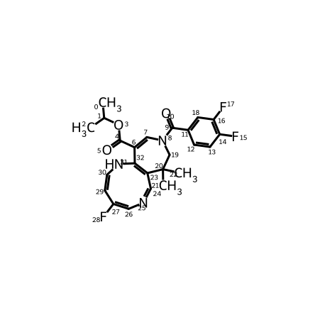 CC(C)OC(=O)C1=CN(C(=O)c2ccc(F)c(F)c2)CC(C)(C)c2cncc(F)cc[nH]c21